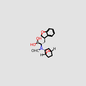 O=CN([C@@H]1C[C@@H]2CC[C@H]1O2)[C@@H](C[C@H]1COc2ccccc21)B(O)O